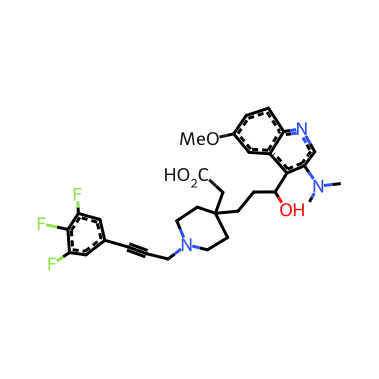 COc1ccc2ncc(N(C)C)c(C(O)CCC3(CC(=O)O)CCN(CC#Cc4cc(F)c(F)c(F)c4)CC3)c2c1